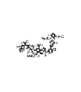 COC[C@H]1Cn2cc(-c3cc(Nc4ccnn4CCc4cc(F)cc(CN5C(=O)c6cc(-c7cc(Nc8ccnn8C)ncc7Cl)cn6C[C@@H]5COC)c4C(=O)N(C)OC)ncc3Cl)cc2C(=O)N1Cc1cc(F)ccc1C=O